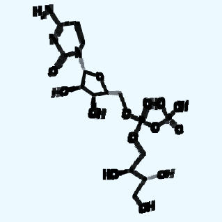 Nc1ccn([C@@H]2O[C@H](COP(=O)(OC[C@H](O)[C@H](O)CO)OP(=O)(O)O)[C@@H](O)[C@H]2O)c(=O)n1